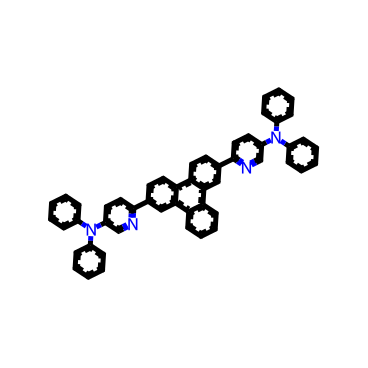 c1ccc(N(c2ccccc2)c2ccc(-c3ccc4c5ccc(-c6ccc(N(c7ccccc7)c7ccccc7)cn6)cc5c5ccccc5c4c3)nc2)cc1